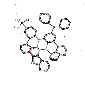 CC(C)(C)c1ccc(N2c3cc(N(c4ccccc4)c4ccccc4)cc4c3B(c3c2ccc2oc5ccccc5c32)n2c3ccccc3c3cccc-4c32)c(-c2ccccc2)c1